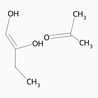 CC(C)=O.CCC(O)=CO